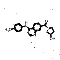 Cc1ccc(Nc2ncnc3cc(C(=O)N4CCC(O)C4)ccc23)cc1